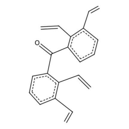 C=Cc1cccc(C(=O)c2cccc(C=C)c2C=C)c1C=C